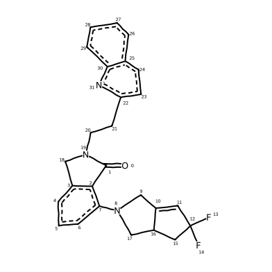 O=C1c2c(cccc2N2CC3=CC(F)(F)CC3C2)CN1CCc1ccc2ccccc2n1